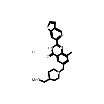 COCC1CCN(Cc2cc(C)c3nc(-c4cc5sccc5cn4)[nH]c(=O)c3c2)CC1.Cl